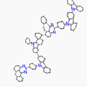 c1ccc(-n2c3ccc(-c4ccc5c6ccccc6n(-c6ccc(-c7nc8c9c(cccc9n7)Sc7ccccc7-8)cc6)c5c4)cc3c3ccc4c(-c5ccc6nc(-c7ccc(-n8c9ccccc9c9cc(-n%10c%11ccccc%11c%11ccccc%11%10)ccc98)cc7)nc7c6c5Sc5ccccc5-7)cccc4c32)cc1